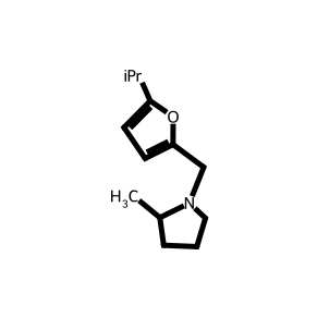 CC(C)c1ccc(CN2CCCC2C)o1